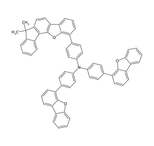 CC1(C)c2ccccc2-c2c1ccc1c2oc2c(-c3ccc(N(c4ccc(-c5cccc6c5oc5ccccc56)cc4)c4ccc(-c5cccc6c5oc5ccccc56)cc4)cc3)cccc21